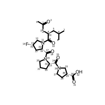 CC(=O)S[C@@H](CC(C)C)C(=O)N1C[C@@H](F)C[C@H]1C(=O)N1CCC[C@H]1C(=O)N1CC[C@@H](C(=O)O)C1